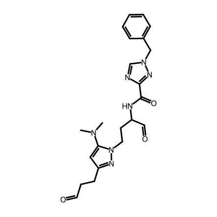 CN(C)c1cc(CCC=O)nn1CCC(C=O)NC(=O)c1ncn(Cc2ccccc2)n1